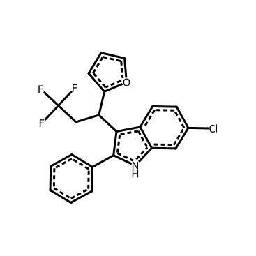 FC(F)(F)CC(c1ccco1)c1c(-c2ccccc2)[nH]c2cc(Cl)ccc12